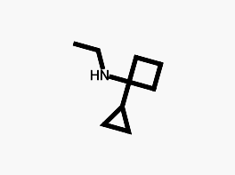 CCNC1(C2CC2)CCC1